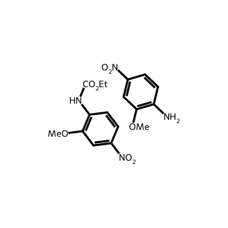 CCOC(=O)Nc1ccc([N+](=O)[O-])cc1OC.COc1cc([N+](=O)[O-])ccc1N